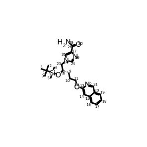 CC(C)(C)[Si](C)(C)O[C@@H](CCCOc1cc2ccccc2cn1)Cn1cnc(C(N)=O)c1